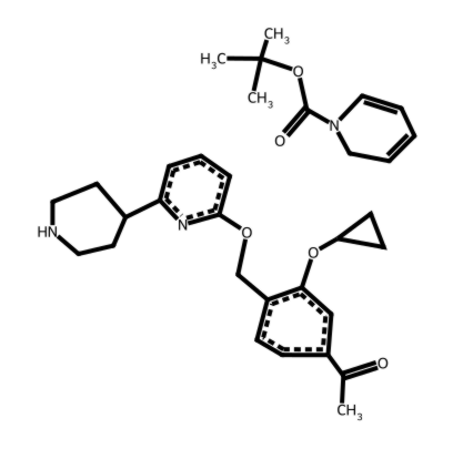 CC(=O)c1ccc(COc2cccc(C3CCNCC3)n2)c(OC2CC2)c1.CC(C)(C)OC(=O)N1C=CC=CC1